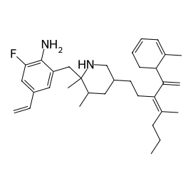 C=Cc1cc(F)c(N)c(CC2(C)NCC(CC/C(C(=C)C3CC=CC=C3C)=C(/C)CCC)CC2C)c1